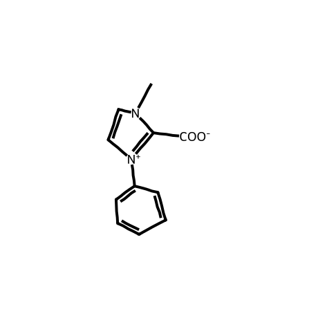 Cn1cc[n+](-c2ccccc2)c1C(=O)[O-]